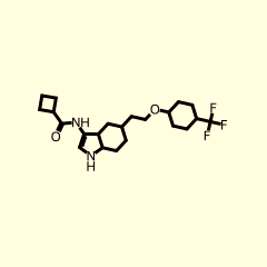 O=C(NC1=CNC2CCC(CCOC3CCC(C(F)(F)F)CC3)CC12)C1CCC1